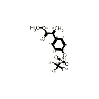 C=C(C(=O)OC)c1ccc(OS(=O)(=O)C(F)(F)F)cc1